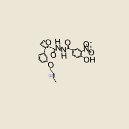 C/C=C/COc1cccc(-c2ccoc2C(=O)NNC(=O)c2ccc(O)c([N+](=O)[O-])c2)c1